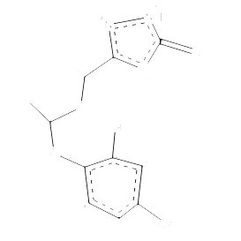 CC(Oc1ccc(Br)cc1Br)SCc1n[nH]c(=S)o1